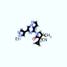 CCn1cc(-c2cn3nccc3c(N3C[C@@H](C)[C@@](C#N)(C4CC4)C3=O)n2)cn1